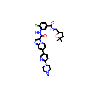 CN1CCN(c2ccc(-c3ccn4c(C(=O)Nc5cc(C(=O)NCC6CCC(C)(C)O6)ccc5F)cnc4c3)cn2)CC1